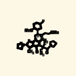 COCCO[C@@H](Cn1c(=O)n(C(C)(C)C(=O)N2CCCC2)c(=O)c2c(C)c(-n3cccn3)sc21)c1cc(F)ccc1OC